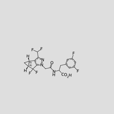 O=C(Cn1nc(C(F)F)c2c1C(F)(F)[C@@H]1C[C@H]21)NC(Cc1cc(F)cc(F)c1)C(=O)O